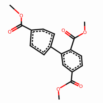 COC(=O)c1ccc(-c2cc(C(=O)OC)ccc2C(=O)OC)cc1